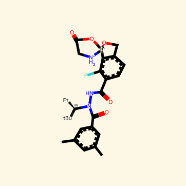 CC[C@@H](N(NC(=O)c1ccc2c(c1F)[B-]1([NH2+]CC(=O)O1)OC2)C(=O)c1cc(C)cc(C)c1)C(C)(C)C